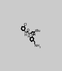 CC(C)(C)c1cc(NC(=O)Nc2cccc(Cl)c2)n(-c2cccc(CCN)c2)n1